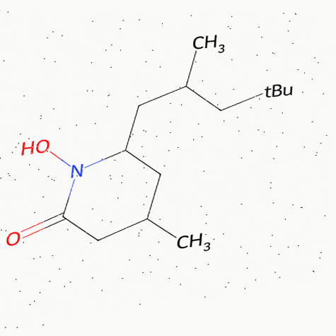 CC1CC(=O)N(O)C(CC(C)CC(C)(C)C)C1